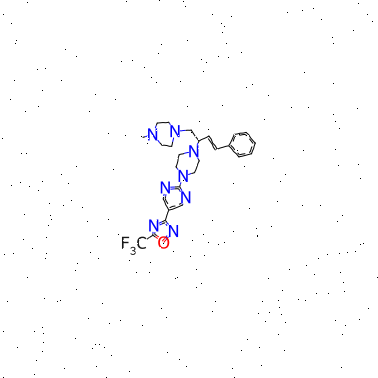 CN1CCN(CC(/C=C/c2ccccc2)N2CCN(c3ncc(-c4noc(C(F)(F)F)n4)cn3)CC2)CC1